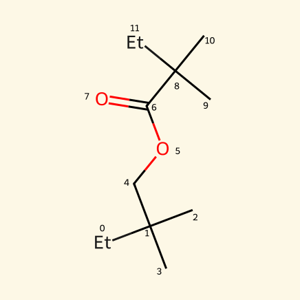 CCC(C)(C)COC(=O)C(C)(C)CC